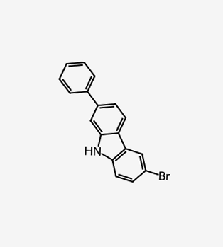 Brc1ccc2[nH]c3cc(-c4ccccc4)ccc3c2c1